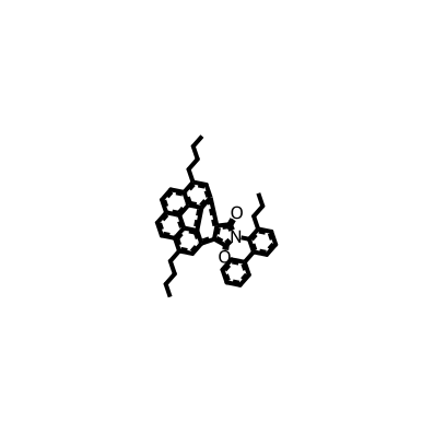 CCCCc1cc2c3c(=O)n(-c4c(CCC)cccc4-c4ccccc4)c(=O)c3c3cc(CCCC)c4ccc5ccc1c1c5c4c3c21